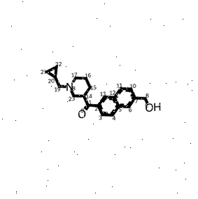 O=C(c1ccc2cc(CO)ccc2c1)C1CCCN(CC2CC2)C1